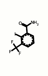 NC(=O)c1cccc(C(F)(F)F)c1I